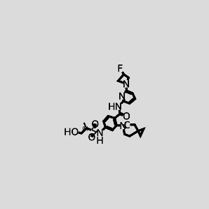 C[C@H](CO)S(=O)(=O)Nc1ccc(C(=O)Nc2cccc(N3CC(F)C3)n2)c(N2CCC3(CC2)CC3)c1